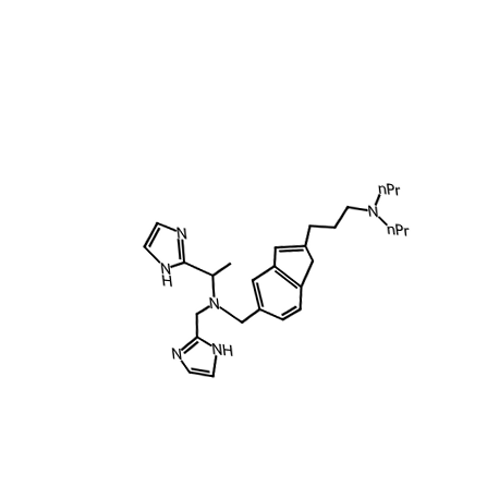 CCCN(CCC)CCCC1=Cc2cc(CN(Cc3ncc[nH]3)C(C)c3ncc[nH]3)ccc2C1